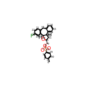 Cc1ccc(S(=O)(=O)OC[C@@H]2C[C@@H]3c4ccccc4Cc4ccc(F)cc4[C@@H]3O2)cc1